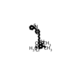 CCc1cc(Cl)c(OC)c(C(=O)NCCCCN2CCN(c3nsc4ccccc34)CC2)c1OC